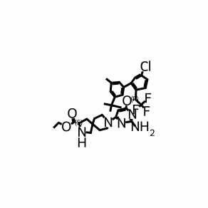 CCOC(=O)[C@@H]1CC2(CCN(c3cc(O[C@H](c4ccc(Cl)cc4-c4cc(C)cc(C(C)(C)C)c4)C(F)(F)F)nc(N)n3)CC2)CN1